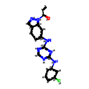 C=CC(=O)n1ncc2ccc(Nc3ncnc(Nc4cccc(Cl)c4)n3)cc21